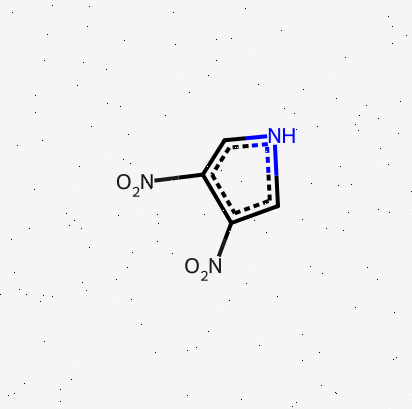 O=[N+]([O-])c1c[nH]cc1[N+](=O)[O-]